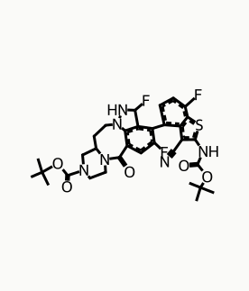 CC(C)(C)OC(=O)Nc1sc2c(F)ccc(-c3c(F)cc4c5c3C(F)NN5CCC3CN(C(=O)OC(C)(C)C)CCN3C4=O)c2c1C#N